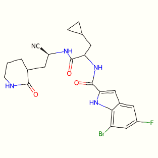 N#C[C@H](CC1CCCNC1=O)NC(=O)C(CC1CC1)NC(=O)c1cc2cc(F)cc(Br)c2[nH]1